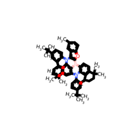 Cc1ccc2oc3c(c2c1)N(c1ccc(C(C)(C)C)cc1-c1ccccc1)c1cc(C(C)(C)C)cc2c1B3c1ccc3c4c1N2c1ccc(C(C)(C)C)cc1C4(C)CCC3(C)C